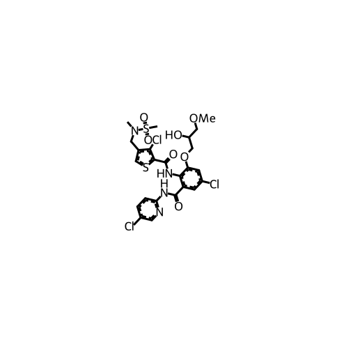 COCC(O)COc1cc(Cl)cc(C(=O)Nc2ccc(Cl)cn2)c1NC(=O)c1scc(CN(C)S(C)(=O)=O)c1Cl